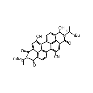 CCCC[C@H](C)N1C(=O)c2ccc3c4c(C#N)cc5c6c(ccc(c7c(C#N)cc(c2c37)C1=O)c64)C(O)N([C@@H](C)CCCC)C5=O